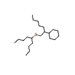 CCCCCC(CSC(CCCC)CCCC)C1CCCCC1